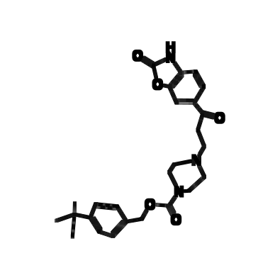 CC(C)(C)c1ccc(COC(=O)N2CCN(CCC(=O)c3ccc4[nH]c(=O)oc4c3)CC2)cc1